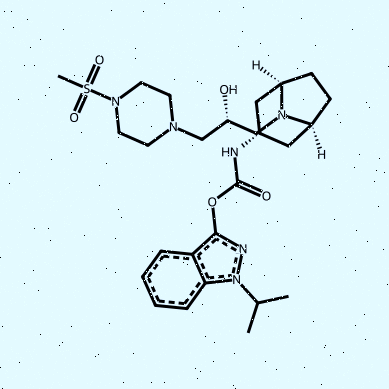 CC(C)n1nc(OC(=O)N[C@@H]2C[C@H]3CC[C@@H](C2)N3C[C@@H](O)CN2CCN(S(C)(=O)=O)CC2)c2ccccc21